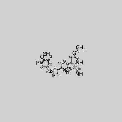 CCOC1=CN/C(=C(/C#N)C=N)C(c2ccc(C3=CCN(Cc4cnc(OC)c(F)c4)C3)nc2)=C1